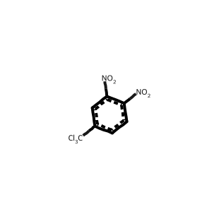 O=[N+]([O-])c1ccc(C(Cl)(Cl)Cl)cc1[N+](=O)[O-]